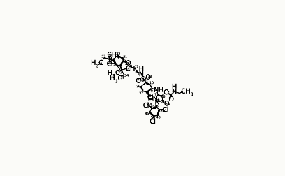 CCNC(=O)Oc1c(Nc2cc(S(=O)(=O)NCCCOc3ccc(C(C)(C)CC)cc3C(C)(C)CC)ccc2Cl)[nH]n(-c2c(Cl)cc(Cl)cc2Cl)c1=O